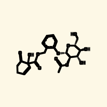 CC(=O)O[C@H]1[C@H](Oc2ccccc2COC(=O)C2(O)C=CCCC2=O)O[C@H](CO)[C@@H](O)[C@@H]1O